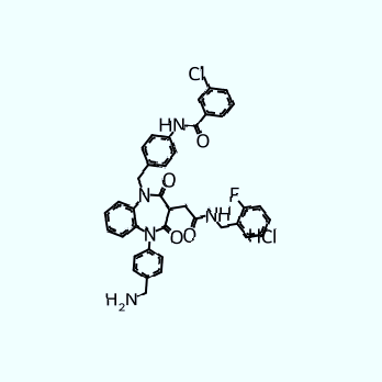 Cl.NCc1ccc(N2C(=O)C(CC(=O)NCc3ccccc3F)C(=O)N(Cc3ccc(NC(=O)c4cccc(Cl)c4)cc3)c3ccccc32)cc1